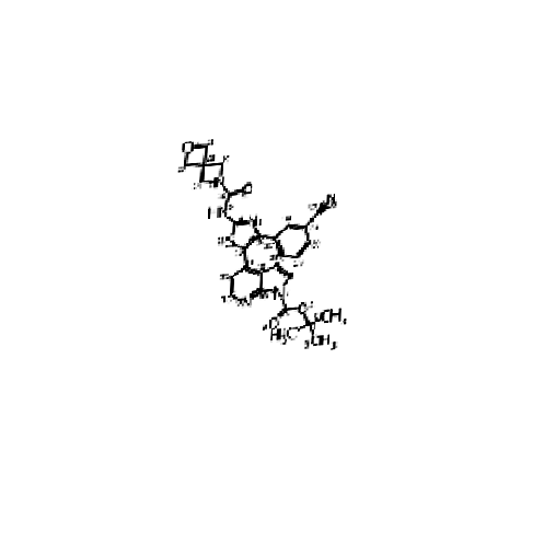 CC(C)(C)OC(=O)n1ccc2c(-c3sc(NC(=O)N4CC5(COC5)C4)nc3-c3cccc(C#N)c3)ccnc21